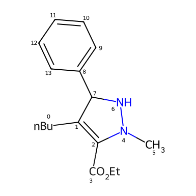 CCCCC1=C(C(=O)OCC)N(C)NC1c1ccccc1